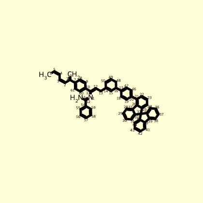 C=C(/C=C\C=C/C)c1ccc(C(=C/CC2=CC(c3ccc(-c4cccc5c4-c4ccccc4C54c5ccccc5-c5ccccc54)cc3)CC=C2)/N=C(\N)c2ccccc2)cc1